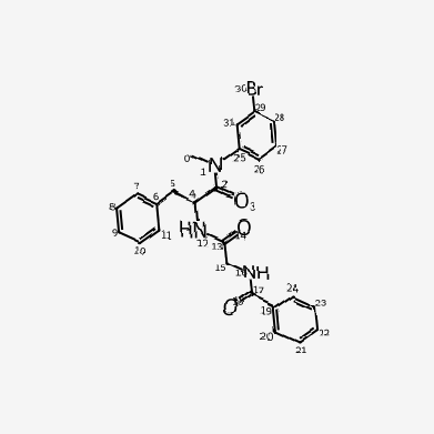 CN(C(=O)[C@H](Cc1ccccc1)NC(=O)CNC(=O)c1ccccc1)c1cccc(Br)c1